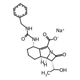 CC(O)[C@H]1C(=O)N2C(C(=O)[O-])=C3[C@@H](NC(=O)NCc4ccccc4)CCC[C@@H]3[C@H]12.[Na+]